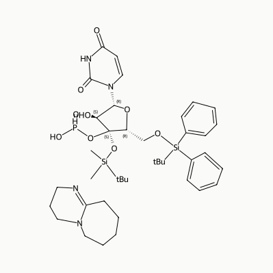 C1CCC2=NCCCN2CC1.CC(C)(C)[Si](C)(C)O[C@@]1(O[PH](=O)O)[C@@H](CO[Si](c2ccccc2)(c2ccccc2)C(C)(C)C)O[C@@H](n2ccc(=O)[nH]c2=O)[C@@H]1O